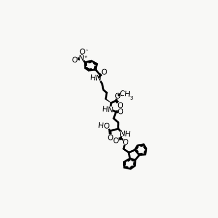 COC(=O)[C@H](CCCCNC(=O)c1ccc([N+](=O)[O-])cc1)NC(=O)CCC(NC(=O)OCC1c2ccccc2-c2ccccc21)C(=O)O